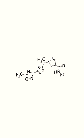 CCNC(=O)c1cnn(C(C)c2ccc(-c3noc(C(F)(F)F)n3)s2)c1